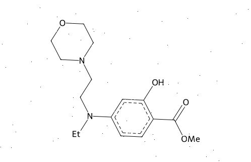 CCN(CCN1CCOCC1)c1ccc(C(=O)OC)c(O)c1